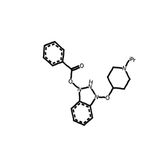 CC(C)N1CCC(ON2NN(OC(=O)c3ccccc3)c3ccccc32)CC1